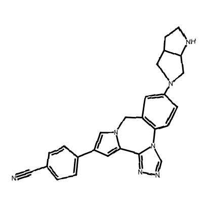 N#Cc1ccc(-c2cc3n(c2)Cc2cc(N4CC5CCNC5C4)ccc2-n2cnnc2-3)cc1